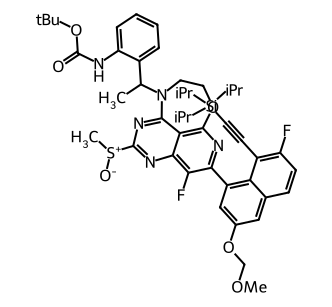 COCOc1cc(-c2nc3c4c(nc([S+](C)[O-])nc4c2F)N(C(C)c2ccccc2NC(=O)OC(C)(C)C)CCO3)c2c(C#C[Si](C(C)C)(C(C)C)C(C)C)c(F)ccc2c1